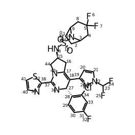 C[C@H]1CC2CC(F)(F)CC1N2S(=O)(=O)N[C@H]1CC2=C(c3ccn(C(F)F)n3)[C@H](c3ccc(F)cc3Cl)N=C(c3nccs3)N2C1